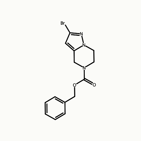 O=C(OCc1ccccc1)N1CCn2nc(Br)cc2C1